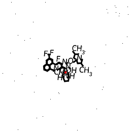 C#Cc1cccc2cc(C(F)F)cc(-c3ncc4c(N5C[C@H]6CC[C@@H](C5)N6C(=O)O)nc(OCC56CC(CC)CN5CC(CC)C6)nc4c3F)c12